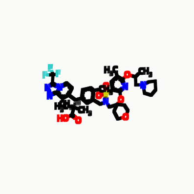 Cc1ccc([C@@H](c2ccn3c(C(F)(F)F)nnc3c2C)C(C)(C)C(=O)O)cc1CN1CC2(CCOCC2)Oc2nc(OC(C)CN3CCCCC3)c(C)cc2S1(=O)=O